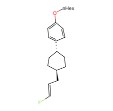 CCCCCCOc1ccc([C@H]2CC[C@H](C/C=C/F)CC2)cc1